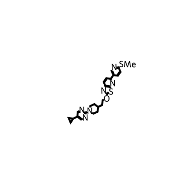 CSc1ccc(-c2ccc3nc(OCCC4CCN(c5ncc(C6CC6)cn5)CC4)sc3n2)cn1